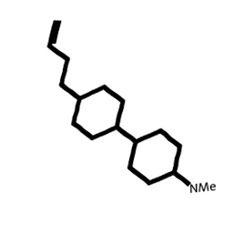 C=CCCC1CCC(C2CCC(NC)CC2)CC1